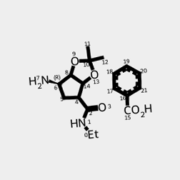 CCNC(=O)C1C[C@@H](N)C2OC(C)(C)OC12.O=C(O)c1ccccc1